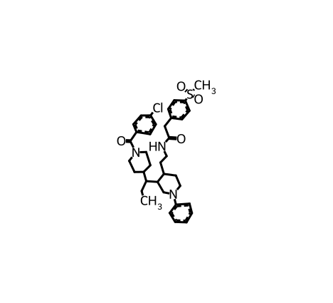 CCC(C1CCN(C(=O)c2ccc(Cl)cc2)CC1)C1CN(c2ccccc2)CCC1CCNC(=O)Cc1ccc(S(C)(=O)=O)cc1